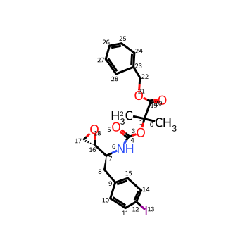 CC(C)(OC(=O)N[C@@H](Cc1ccc(I)cc1)[C@@H]1CO1)C(=O)OCc1ccccc1